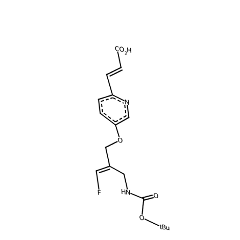 CC(C)(C)OC(=O)NC/C(=C\F)COc1ccc(/C=C/C(=O)O)nc1